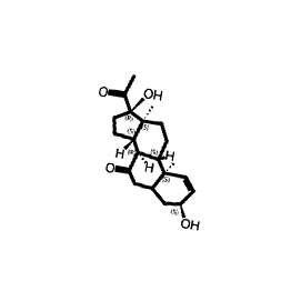 CC(=O)[C@@]1(O)CC[C@H]2[C@@H]3C(=O)CC4C[C@H](O)C=C[C@]4(C)[C@H]3CC[C@@]21C